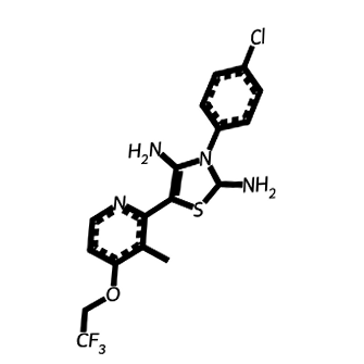 Cc1c(OCC(F)(F)F)ccnc1C1=C(N)N(c2ccc(Cl)cc2)C(N)S1